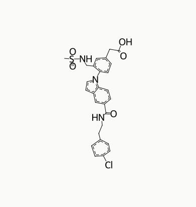 CS(=O)(=O)NCc1cc(CC(=O)O)ccc1-n1ccc2cc(C(=O)NCCc3ccc(Cl)cc3)ccc21